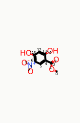 COC(=O)c1cc([N+](=O)[O-])c(O)cc1O